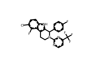 Fc1ccc(C2c3[nH]c4ccc(Cl)c(F)c4c3CCN2c2nccc(C(F)(F)F)n2)cc1